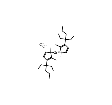 CCCC(CC)(CC)C1=C(C)[C](C)([Zr+2][C]2(C)C=CC(C(CC)(CC)CCC)=C2C)C=C1.[Cl-].[Cl-]